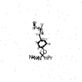 CCC[C@](C)(N=[N+]=[N-])Oc1ccc(/C=N/N(C)P=S)cc1